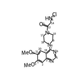 COc1cc2ncnc(N3CCN(C(=O)CNCl)CC3)c2cc1OC